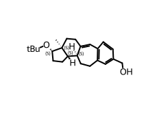 CC(C)(C)O[C@H]1CC[C@H]2[C@@H]3CCc4cc(CO)ccc4C=C3CC[C@]12C